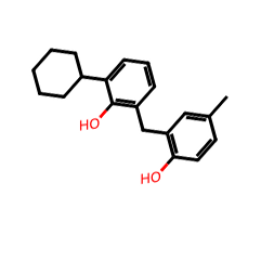 Cc1ccc(O)c(Cc2cccc(C3CCCCC3)c2O)c1